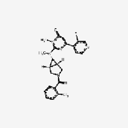 CN(c1nc(-c2ccncc2F)cc(=O)n1C)[C@@H]1[C@@H]2CN(C(=O)c3ccccc3C(F)(F)F)C[C@@H]21